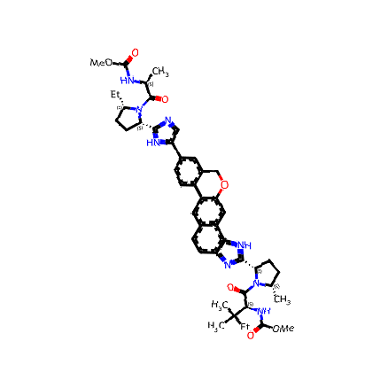 CC[C@H]1CC[C@@H](c2ncc(-c3ccc4c(c3)COc3cc5c(ccc6nc([C@@H]7CC[C@H](C)N7C(=O)[C@@H](NC(=O)OC)C(C)(C)CC)[nH]c65)cc3-4)[nH]2)N1C(=O)[C@H](C)NC(=O)OC